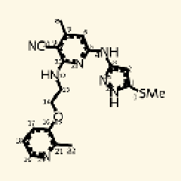 CSc1cc(Nc2cc(C)c(C#N)c(NCCOc3cccnc3C)n2)n[nH]1